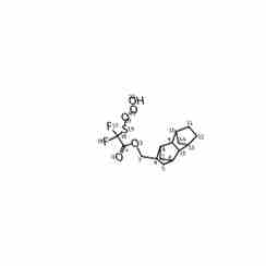 O=C(OCC1CC2CC1C1C3CCC(C3)C21)C(F)(F)SOOO